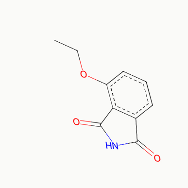 CCOc1cccc2c1C(=O)NC2=O